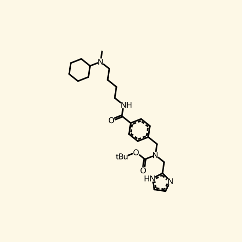 CN(CCCCNC(=O)c1ccc(CN(Cc2ncc[nH]2)C(=O)OC(C)(C)C)cc1)C1CCCCC1